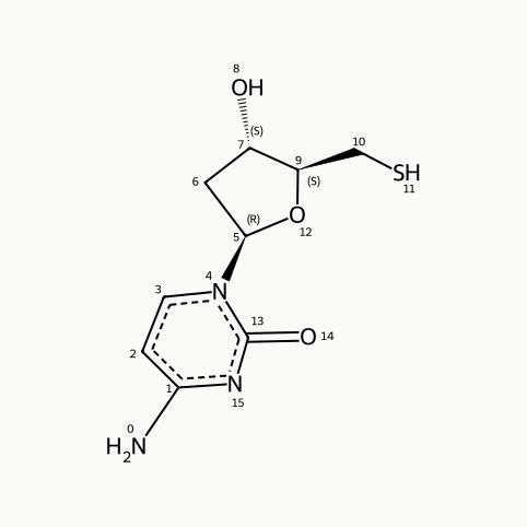 Nc1ccn([C@H]2C[C@H](O)[C@@H](CS)O2)c(=O)n1